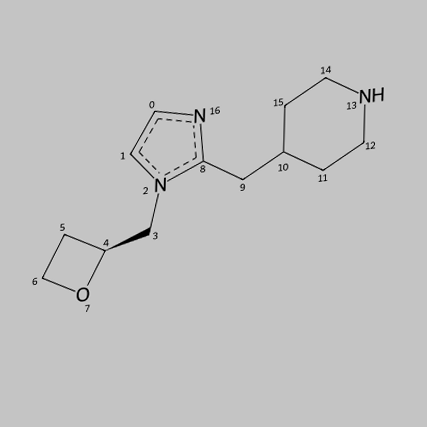 c1cn(C[C@@H]2CCO2)c(CC2CCNCC2)n1